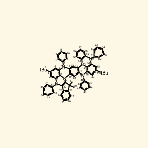 CC(C)(C)c1cc2c3c(c1)N(c1ccccc1)c1cc4c(cc1B3C1=C(c3ccccc3C1(C)C)N2c1ccccc1)N(c1ccccc1)c1cc(C(C)(C)C)cc2c1B4c1ccccc1N2c1ccccc1